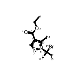 CCOC(=O)c1cnn(C(F)(F)Br)c1I